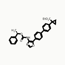 CCOC(=O)C1(c2ccc(-c3ccc(-c4ocnc4NC(=O)O[C@H](C)c4ccccc4)cc3)cc2)CC1